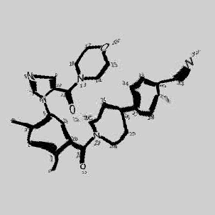 Cc1cc(C)c(-n2cncc2C(=O)N2CCOCC2)cc1C(=O)N1CCC(c2ccc(C#N)cc2)CC1